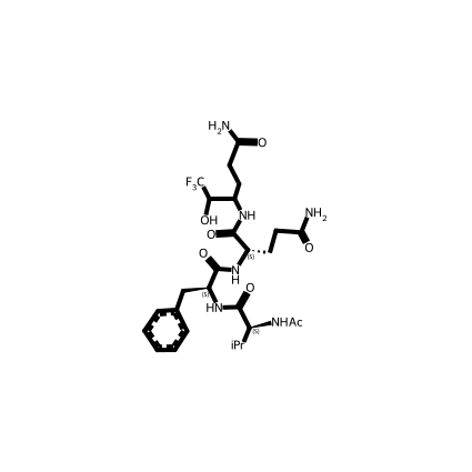 CC(=O)N[C@H](C(=O)N[C@@H](Cc1ccccc1)C(=O)N[C@@H](CCC(N)=O)C(=O)NC(CCC(N)=O)C(O)C(F)(F)F)C(C)C